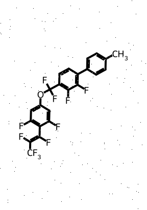 Cc1ccc(-c2ccc(C(F)(F)Oc3cc(F)c(/C(F)=C(\F)C(F)(F)F)c(F)c3)c(F)c2F)cc1